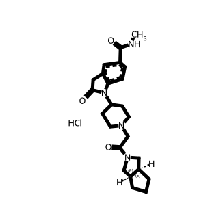 CNC(=O)c1ccc2c(c1)CC(=O)N2C1CCN(CC(=O)N2C[C@H]3CCC[C@H]3C2)CC1.Cl